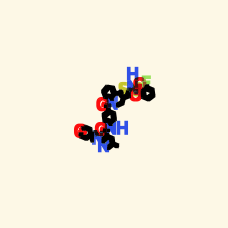 Cc1cnc(N2CC3(CCOCC3)C2)c(C(=O)Nc2ccc(C(=O)N3CCc4cc(NS(=O)(=O)c5ccccc5F)sc4-c4ccccc43)cc2)c1